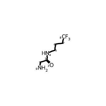 NCC(=O)NCCCC(F)(F)F